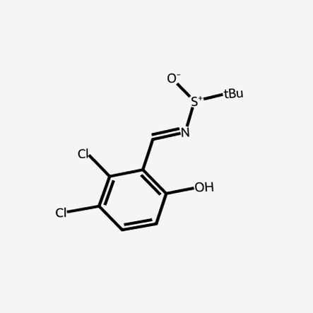 CC(C)(C)[S+]([O-])N=Cc1c(O)ccc(Cl)c1Cl